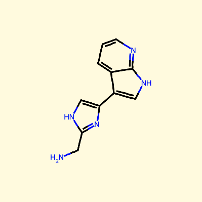 NCc1nc(-c2c[nH]c3ncccc23)c[nH]1